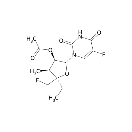 CC[C@@]1(CF)O[C@@H](n2cc(F)c(=O)[nH]c2=O)[C@H](OC(C)=O)[C@@H]1C